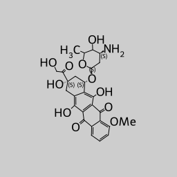 COc1cccc2c1C(=O)c1c(O)c3c(c(O)c1C2=O)C[C@@](O)(C(=O)CO)C[C@@H]3O[C@@H]1C[C@H](N)C(O)C(C)O1